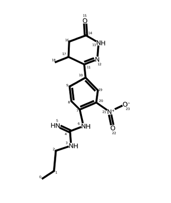 CCCNC(=N)Nc1ccc(C2=NNC(=O)CC2C)cc1[N+](=O)[O-]